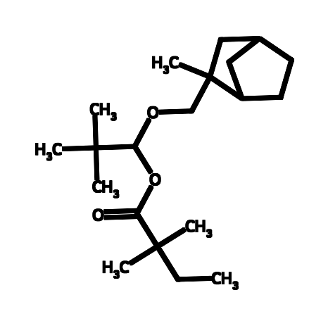 CCC(C)(C)C(=O)OC(OCC1(C)CC2CCC1C2)C(C)(C)C